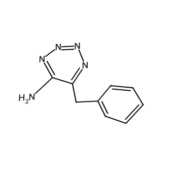 Nc1nnnnc1Cc1ccccc1